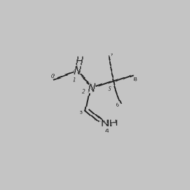 CNN(C=N)C(C)(C)C